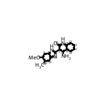 COc1cc2[nH]c(-c3c(N)c4ccccc4[nH]c3=O)nc2cc1C